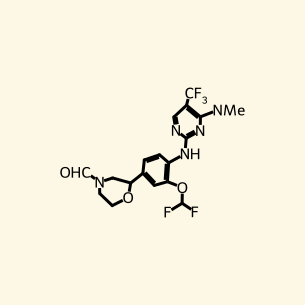 CNc1nc(Nc2ccc(C3CN(C=O)CCO3)cc2OC(F)F)ncc1C(F)(F)F